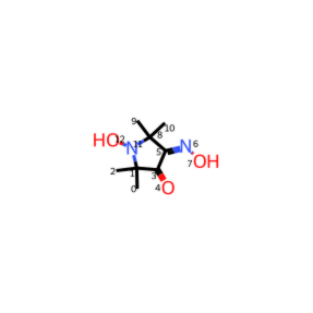 CC1(C)C(=O)C(=NO)C(C)(C)N1O